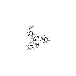 Cl.O=C(N[C@H](Cc1ccc(Cl)cc1)C(=O)N1CCN(c2ccccc2[N+](=O)[O-])CC1)C1N[CH]Cc2ccccc21